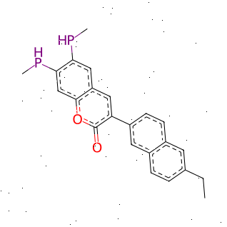 CCc1ccc2cc(-c3cc4cc(PC)c(PC)cc4oc3=O)ccc2c1